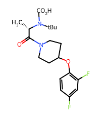 C[C@@H](C(=O)N1CCC(Oc2ccc(F)cc2F)CC1)N(C(=O)O)C(C)(C)C